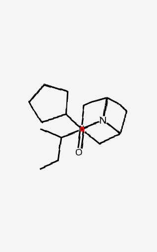 CCC(C)N1CC2CC(C1)N2C(=O)C1CCCC1